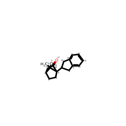 CC1(C)C2CCC1(C1Cc3ccccc3C1)C(=O)C2